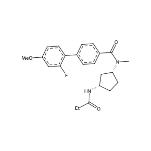 CCC(=O)N[C@H]1CC[C@@H](N(C)C(=O)c2ccc(-c3ccc(OC)cc3F)cc2)C1